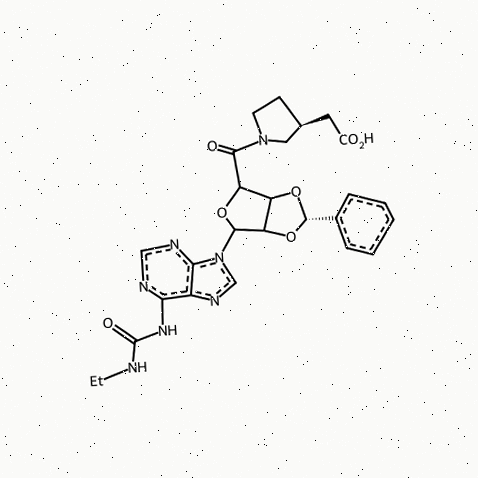 CCNC(=O)Nc1ncnc2c1ncn2C1OC(C(=O)N2CC[C@@H](CC(=O)O)C2)C2O[C@H](c3ccccc3)OC21